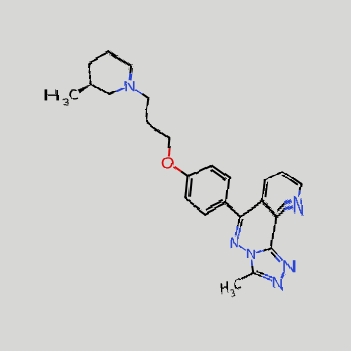 Cc1nnc2c3ncccc3c(-c3ccc(OCCCN4CCC[C@H](C)C4)cc3)nn12